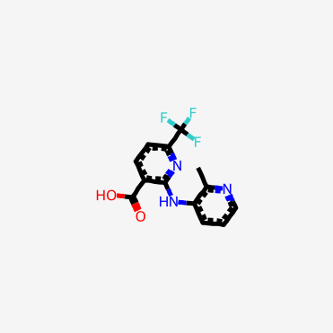 Cc1ncccc1Nc1nc(C(F)(F)F)ccc1C(=O)O